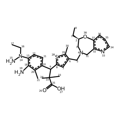 CC[C@@H]1CN(Cc2cc(C(c3ccc(N(N)CC)c(N)c3C)C(C)(C)C(=O)O)sc2C)Cc2ncccc2O1